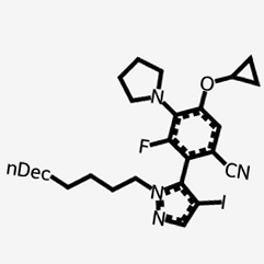 CCCCCCCCCCCCCCn1ncc(I)c1-c1c(C#N)cc(OC2CC2)c(N2CCCC2)c1F